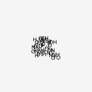 CC(C)C(=O)Nc1nc2c(ncn2[C@@H]2O[C@H](CO)[C@@H](O[Si](C)(C)C(C)(C)C)[C@H]2O[PH](=O)C[C@@H]2C[C@@H](OP(O)I)[C@H](n3cnc4c(NC(=O)c5ccccc5)ncnc43)O2)c(=O)[nH]1